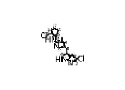 Clc1cnc2[nH]cc(Cc3cnc(Nc4ccccc4Cl)nc3)c2c1